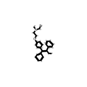 CC/C(=C(\c1ccccc1)c1ccc(OCCN(C)CBr)cc1)c1ccccc1